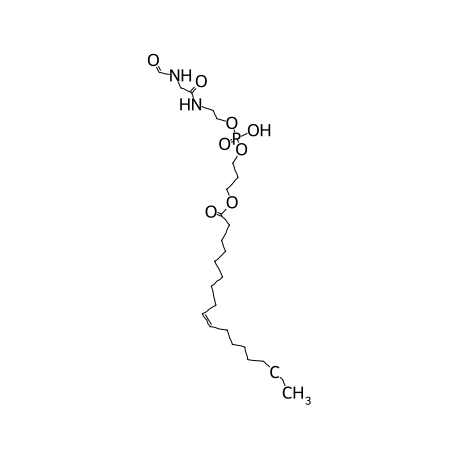 CCCCCCCC/C=C\CCCCCCCC(=O)OCCCOP(=O)(O)OCCNC(=O)CNC=O